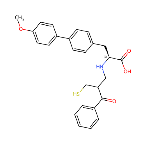 COc1ccc(-c2ccc(C[C@H](NCC(CS)C(=O)c3ccccc3)C(=O)O)cc2)cc1